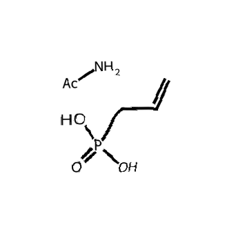 C=CCP(=O)(O)O.CC(N)=O